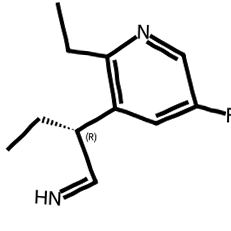 CCc1ncc(F)cc1[C@H](C=N)CC